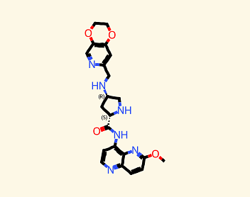 COc1ccc2nccc(NC(=O)[C@@H]3C[C@@H](NCc4cc5c(cn4)OCCO5)CN3)c2n1